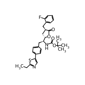 CCc1ncc(-c2ccc(C[C@H](NC(=O)OC(C)(C)C)[C@@H]3C[C@@H](Cc4ccccc4F)C(=O)O3)cc2)s1